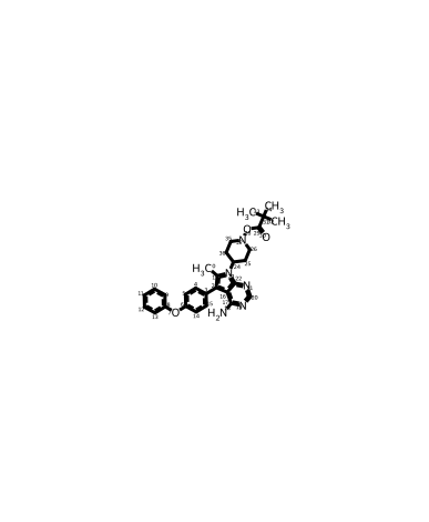 Cc1c(-c2ccc(Oc3ccccc3)cc2)c2c(N)ncnc2n1C1CCN(OC(=O)C(C)(C)C)CC1